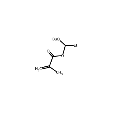 C=C(C)C(=O)OC(CC)OCC(C)C